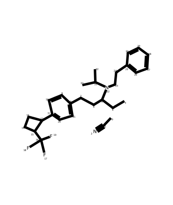 CC#N.CCC(CCc1ccc(C2CCC2C(F)(F)F)cc1)N(CCc1ccccc1)C(C)C